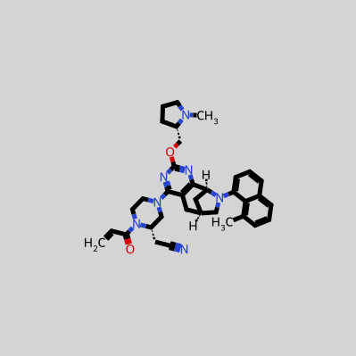 C=CC(=O)N1CCN(c2nc(OC[C@@H]3CCCN3C)nc3c2C[C@H]2C[C@@H]3N(c3cccc4cccc(C)c34)C2)C[C@@H]1CC#N